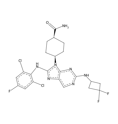 NC(=O)[C@H]1CC[C@@H](n2c(Nc3c(Cl)cc(F)cc3Cl)nc3cnc(NC4CC(F)(F)C4)nc32)CC1